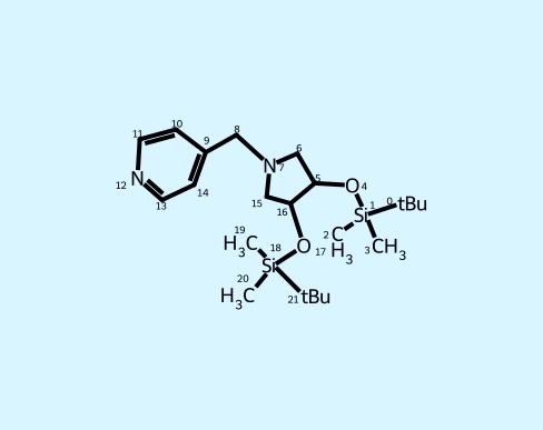 CC(C)(C)[Si](C)(C)OC1CN(Cc2ccncc2)CC1O[Si](C)(C)C(C)(C)C